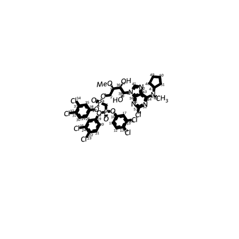 CO[C@H](COP(=O)(CP(=O)(Oc1ccc(Cl)c(Cl)c1)Oc1ccc(Cl)c(Cl)c1)Oc1ccc(Cl)c(Cl)c1)[C@@H](O)[C@@H](O)n1cnc2c(N(C)C3CCCC3)nc(Cl)nc21